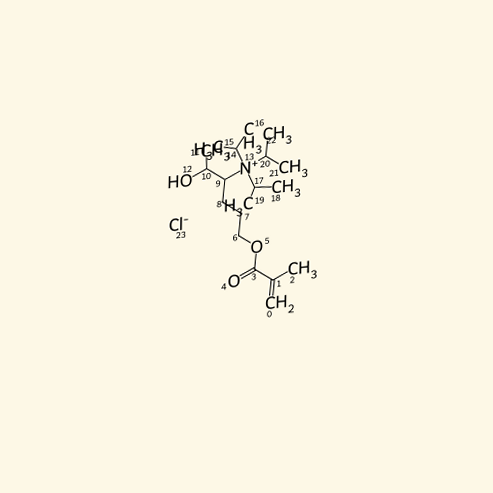 C=C(C)C(=O)OCCCC(C(C)O)[N+](C(C)C)(C(C)C)C(C)C.[Cl-]